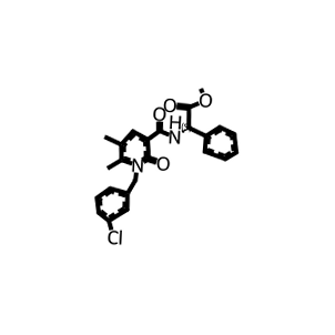 COC(=O)[C@@H](NC(=O)c1cc(C)c(C)n(Cc2cccc(Cl)c2)c1=O)c1ccccc1